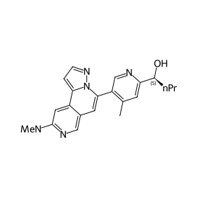 CCC[C@H](O)c1cc(C)c(-c2cc3cnc(NC)cc3c3ccnn23)cn1